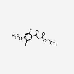 CCOC(=O)CC(=O)c1cc(I)c(OC)cc1F